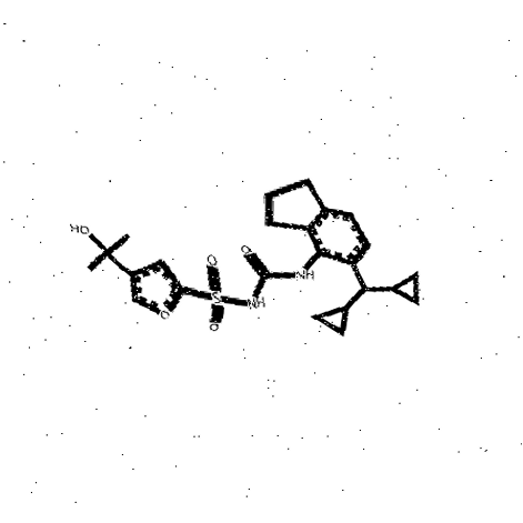 CC(C)(O)c1coc(S(=O)(=O)NC(=O)Nc2c(C(C3CC3)C3CC3)ccc3c2CCC3)c1